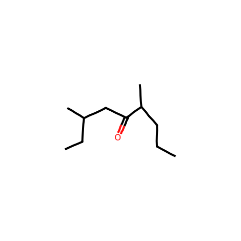 CCCC(C)C(=O)CC(C)CC